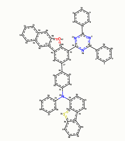 c1ccc(-c2nc(-c3ccccc3)nc(-c3cc(-c4ccc(N(c5ccccc5)c5cccc6c5sc5ccccc56)cc4)cc4c3oc3cc5ccccc5cc34)n2)cc1